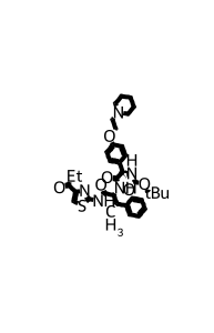 CCC(=O)c1csc(NC(=O)C(NC(=O)[C@H](NC(=O)OC(C)(C)C)c2ccc(OCCN3CCCCC3)cc2)C(C)c2ccccc2)n1